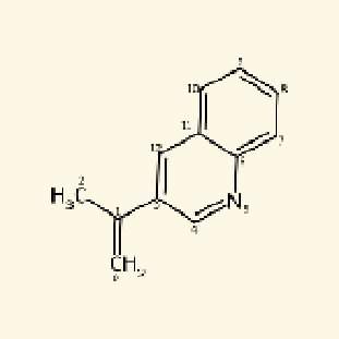 C=C(C)c1cnc2ccccc2c1